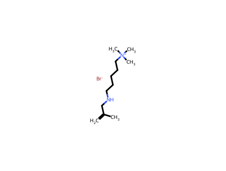 C=C(C)CNCCCCC[N+](C)(C)C.[Br-]